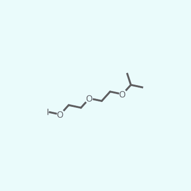 CC(C)OCCOCCOI